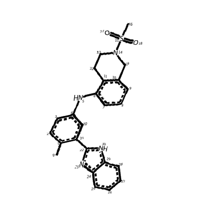 Cc1ccc(Nc2cccc3c2CCN(S(C)(=O)=O)C3)cc1-c1nc2ccccc2[nH]1